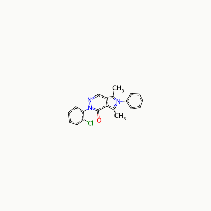 Cc1c2cnn(-c3ccccc3Cl)c(=O)c2c(C)n1-c1ccccc1